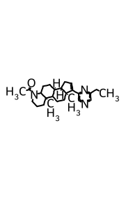 CCc1cncc(C2=CC[C@H]3[C@@H]4CCC5N(C(C)=O)CCC[C@]5(C)C4CC[C@]23C)n1